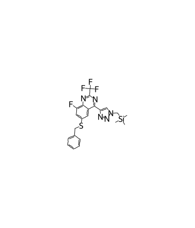 C[Si](C)(C)Cn1cc(-c2nc(C(F)(F)F)nc3c(F)cc(SCc4ccccc4)cc23)nn1